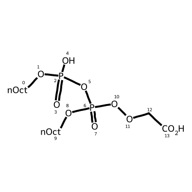 CCCCCCCCOP(=O)(O)OP(=O)(OCCCCCCCC)OOCC(=O)O